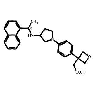 C[C@@H](NC1CCN(c2ccc(C3(CC(=O)O)COC3)cc2)C1)c1cccc2ccccc12